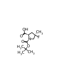 CC(C)(C)OC(=O)N1C[C@](C)(F)C[C@@H]1C(=O)O